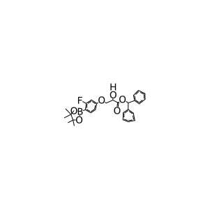 CC1(C)OB(c2ccc(OCC(O)C(=O)OC(c3ccccc3)c3ccccc3)cc2F)OC1(C)C